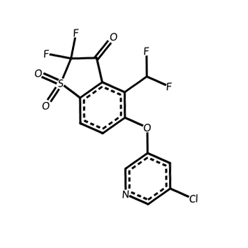 O=C1c2c(ccc(Oc3cncc(Cl)c3)c2C(F)F)S(=O)(=O)C1(F)F